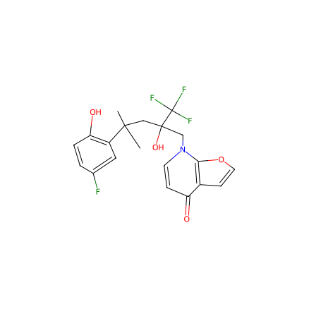 CC(C)(CC(O)(Cn1ccc(=O)c2ccoc21)C(F)(F)F)c1cc(F)ccc1O